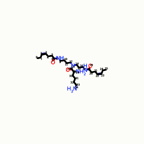 CC/C=C\CCC(=O)NCCCCN(CCCNC(=O)CC/C=C\CC)C(=O)[C@H](N)CCCCN